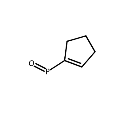 O=PC1=CCCC1